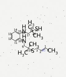 C/C=C/CSC(C)(C)CNc1ccccc1NCC(C)(C)S